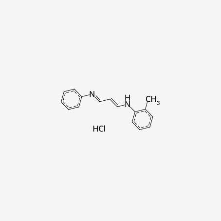 Cc1ccccc1NC=CC=Nc1ccccc1.Cl